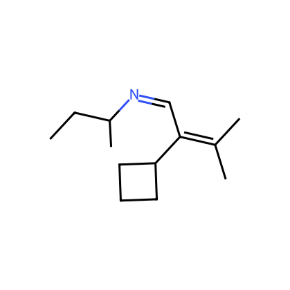 CCC(C)/N=C\C(=C(C)C)C1CCC1